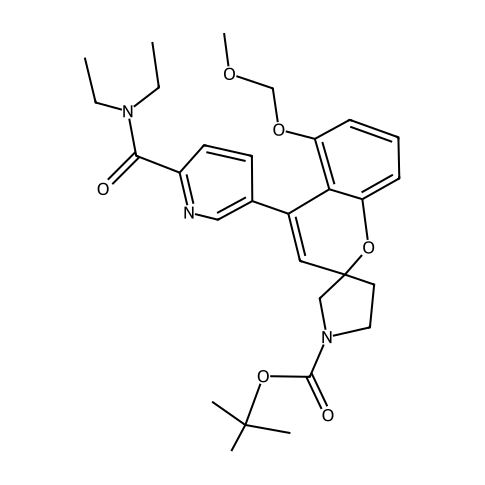 CCN(CC)C(=O)c1ccc(C2=CC3(CCN(C(=O)OC(C)(C)C)C3)Oc3cccc(OCOC)c32)cn1